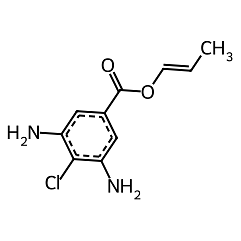 CC=COC(=O)c1cc(N)c(Cl)c(N)c1